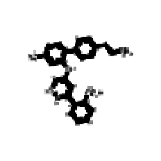 N#Cc1ccc(-c2ccc(CCN)cc2)c(Oc2cnnc(-c3ccccc3C(=O)O)c2)c1